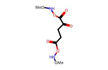 CONOC(=O)CCC(=O)C(=O)ONOC